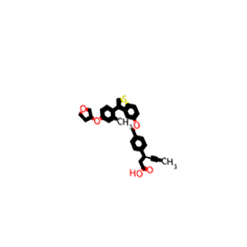 CC#C[C@@H](CC(=O)O)c1ccc(COc2ccc3scc(-c4ccc(OC5CCOC5)cc4C)c3c2)cc1